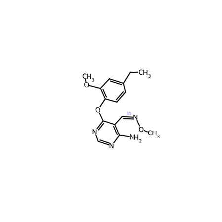 CCc1ccc(Oc2ncnc(N)c2/C=N\OC)c(OC)c1